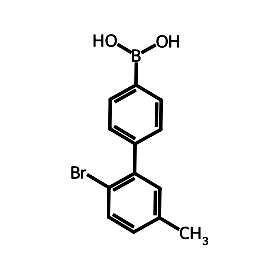 Cc1ccc(Br)c(-c2ccc(B(O)O)cc2)c1